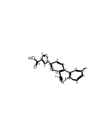 Cc1ccc(F)c(-c2ccc(-n3cc(C(=O)O)cn3)nc2C#N)c1